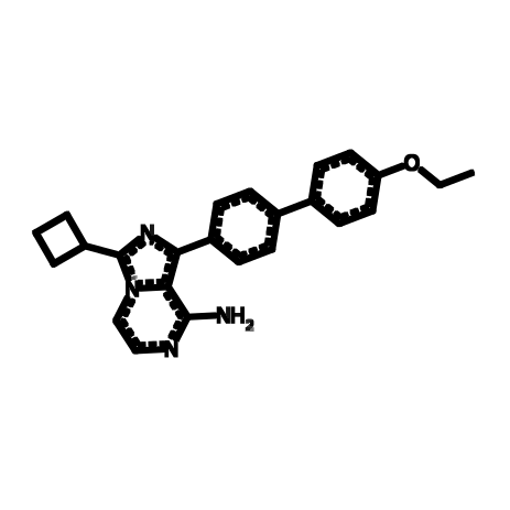 CCOc1ccc(-c2ccc(-c3nc(C4CCC4)n4ccnc(N)c34)cc2)cc1